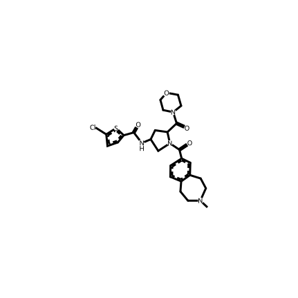 CN1CCc2ccc(C(=O)N3CC(NC(=O)c4ccc(Cl)s4)CC3C(=O)N3CCOCC3)cc2CC1